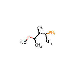 C=C(C(C)P)C(C)OC